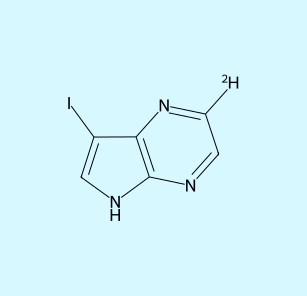 [2H]c1cnc2[nH]cc(I)c2n1